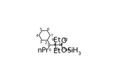 CCCC(C1CCCCC1)C(CC)(CC)C(=O)O[SiH3]